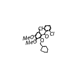 COc1cc(C)c(C(=O)c2c(Cl)cccc2Cl)c(OCC2CCCCC2)c1OC